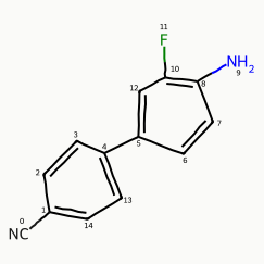 N#Cc1ccc(-c2ccc(N)c(F)c2)cc1